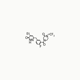 CCc1cc(Cc2ccc(F)c(C(=O)N3CCN(CC(F)(F)F)C(=O)C3)c2)n[nH]c1=O